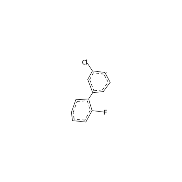 Fc1ccccc1-c1cc[c]c(Cl)c1